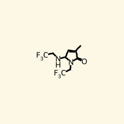 CC1=CC(NCC(F)(F)F)N(CC(F)(F)F)C1=O